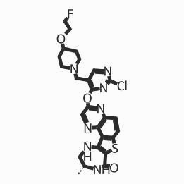 C[C@@H]1CNc2c(sc3ccc4nc(Oc5nc(Cl)ncc5CN5CCC(OCCF)CC5)cnc4c23)C(=O)N1